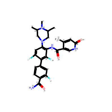 CC1CN(c2cc(F)c(-c3ccc(C(N)=O)c(F)c3)c(F)c2NC(=O)c2c[nH]c(=O)cc2C(F)(F)F)CC(C)N1C